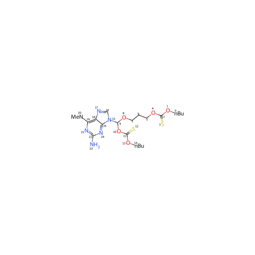 CCCCOC(=S)OCCCOC(OC(=S)OCCCC)n1cnc2c(NC)nc(N)nc21